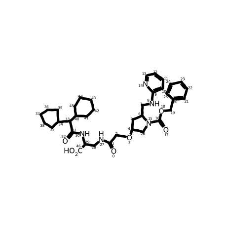 O=C(COC1CC(CNc2ccccn2)N(C(=O)OCc2ccccc2)C1)NCC(NC(=O)C(C1CCCCC1)C1CCCCC1)C(=O)O